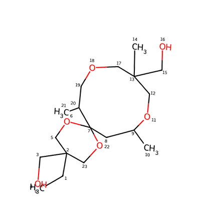 CCC1(CO)COC2(CC(C)OCC(C)(CO)COCC2C)OC1